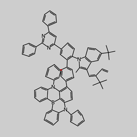 C=C/C(=C\c1c(C)n(-c2ccc(-c3cc(-c4ccccc4)nc(-c4ccccc4)n3)cc2-c2ccc(-c3ccc4c5c3N(c3ccccc3)c3ccccc3B5c3ccccc3N4c3ccccc3)cc2)c2ccc(C(C)(C)C)cc12)C(C)(C)C